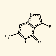 Cc1cn2ncc(F)c2c(=O)[nH]1